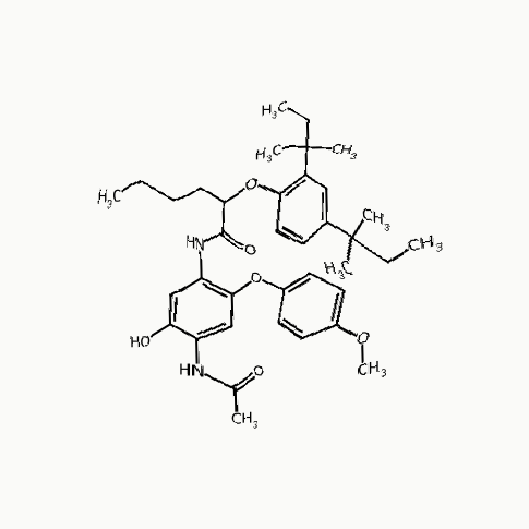 CCCCC(Oc1ccc(C(C)(C)CC)cc1C(C)(C)CC)C(=O)Nc1cc(O)c(NC(C)=O)cc1Oc1ccc(OC)cc1